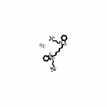 C[N+](C)(C)CCCN1C(=CC=CC=Cc2sc3ccccc3[n+]2CCC[N+](C)(C)C)Sc2ccccc21.[I-].[I-].[I-]